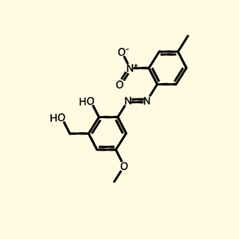 COc1cc(CO)c(O)c(N=Nc2ccc(C)cc2[N+](=O)[O-])c1